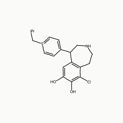 CC(C)CS1=CC=C(C2CNCCc3c2cc(O)c(O)c3Cl)C=C1